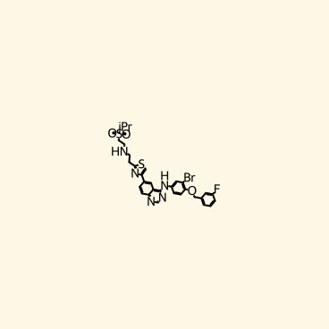 CC(C)S(=O)(=O)CCNCCc1nc(-c2ccc3ncnc(Nc4ccc(OCc5cccc(F)c5)c(Br)c4)c3c2)cs1